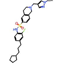 CC(C)(C)n1cc(CN2CCc3cc(S(=O)(=O)Nc4ccc(CCCC5CCCC5)cc4F)ccc3C2)cn1